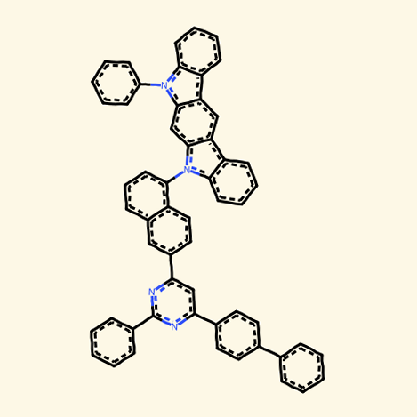 c1ccc(-c2ccc(-c3cc(-c4ccc5c(-n6c7ccccc7c7cc8c9ccccc9n(-c9ccccc9)c8cc76)cccc5c4)nc(-c4ccccc4)n3)cc2)cc1